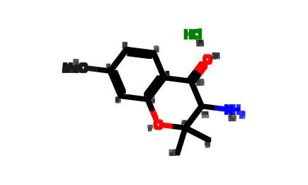 COc1ccc2c(c1)OC(C)(C)C(N)C2=O.Cl